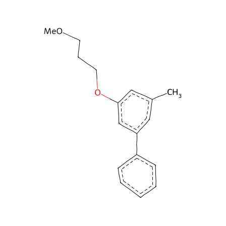 COCCCOc1cc(C)cc(-c2ccccc2)c1